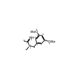 COc1cc(CN(C)C(C)=N)cc(OC)c1